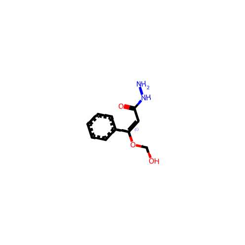 NNC(=O)/C=C(/OCO)c1ccccc1